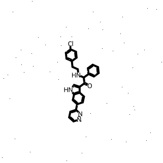 O=C(c1c[nH]c2cc(-c3cccnn3)ccc12)C(NCCc1ccc(Cl)cc1)c1ccccc1